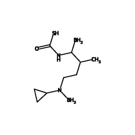 BC(NC(=O)S)C(C)CCN(B)C1CC1